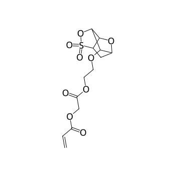 C=CC(=O)OCC(=O)OCCOC1C2CC3C(O2)C1OS3(=O)=O